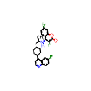 C[C@H](C[C@H]1CC[C@H](c2ccnc3ccc(F)cc32)CC1)Nc1c(F)c(=O)oc2cc(Br)ccc12